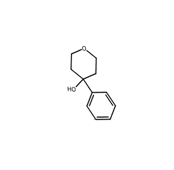 OC1(c2c[c]ccc2)CCOCC1